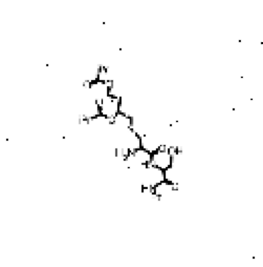 CCNC(=O)C(CO)NC(=O)C(N)CSCC(CCOC(=O)C(C)C)OC(=O)C(C)C